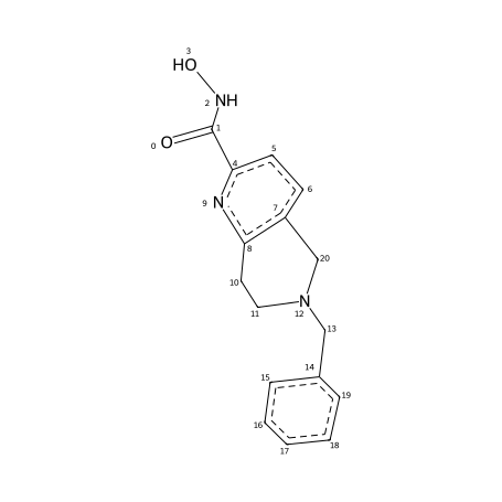 O=C(NO)c1ccc2c(n1)CCN(Cc1ccccc1)C2